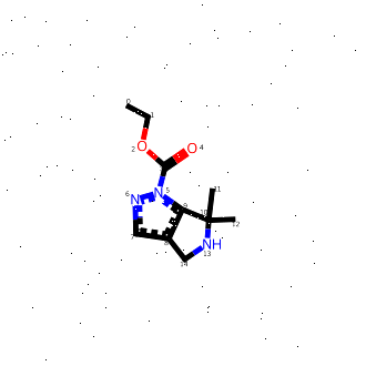 CCOC(=O)n1ncc2c1C(C)(C)NC2